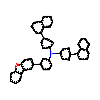 c1cc(-c2ccc3oc4ccccc4c3c2)cc(N(c2ccc(-c3cccc4ccccc34)cc2)c2ccc(-c3cccc4ccccc34)cc2)c1